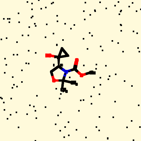 CC(C)(C)OC(=O)N1[C@@H](C2(O)CC2)COC1(C)C